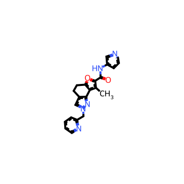 Cc1c(C(=O)Nc2cccnc2)oc2c1-c1nn(Cc3ccccn3)cc1CC2